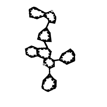 c1ccc(-c2cc(-c3ccccc3)c3cc(-c4ccc(-c5ccnc6ccccc56)cc4)c4ccccc4c3n2)cc1